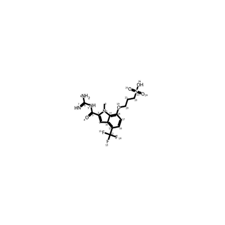 Cn1c(C(=O)NC(=N)N)cc2c(C(F)(F)F)ccc(OCCCS(=O)(=O)O)c21